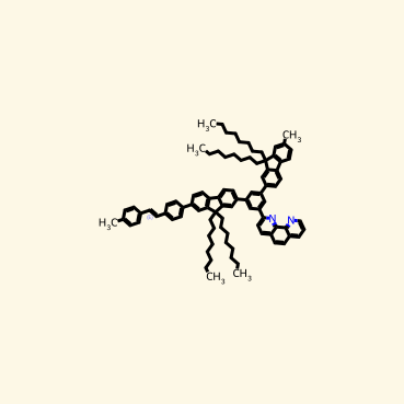 CCCCCCCCC1(CCCCCCCC)c2cc(C)ccc2-c2ccc(-c3cc(-c4ccc5c(c4)C(CCCCCCCC)(CCCCCCCC)c4cc(-c6ccc(/C=C/c7ccc(C)cc7)cc6)ccc4-5)cc(-c4ccc5ccc6cccnc6c5n4)c3)cc21